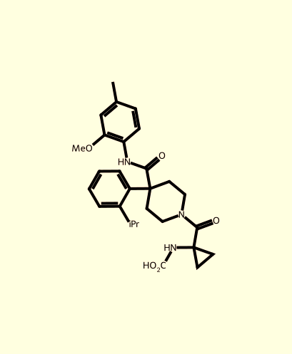 COc1cc(C)ccc1NC(=O)C1(c2ccccc2C(C)C)CCN(C(=O)C2(NC(=O)O)CC2)CC1